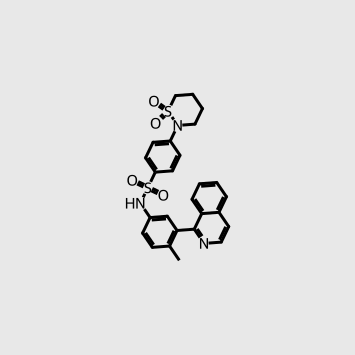 Cc1ccc(NS(=O)(=O)c2ccc(N3CCCCS3(=O)=O)cc2)cc1-c1nccc2ccccc12